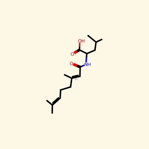 CC(C)=CCC/C(C)=C/C(=O)NC(CC(C)C)C(=O)O